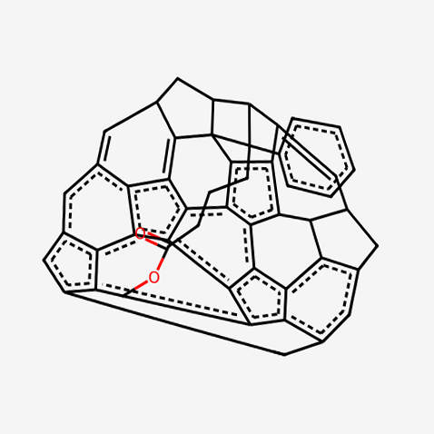 COC(=O)CCCC1(c2ccccc2)C2C3=CC4Cc5cc6c7c8c5C4c4c3c3c5c4c8c4c7c7c(cc8cc9c%10c(c5c4c%10c87)=C4C(C=9)CC2C431)C6